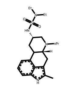 CCCN1C[C@@H](NS(=O)(=O)N(CC)CC)CC2c3cccc4[nH]c(C)c(c34)C[C@H]21